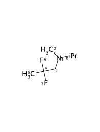 CC(C)N(C)CC(C)(F)F